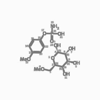 COC[C@H]1O[C@H](O)[C@H](O)[C@@H](O)[C@H]1O.COc1ccc(OP(N)(=O)O)cc1